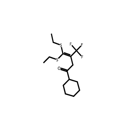 CCSC(SCC)=C(CC(=O)C1CCCCC1)C(F)(F)F